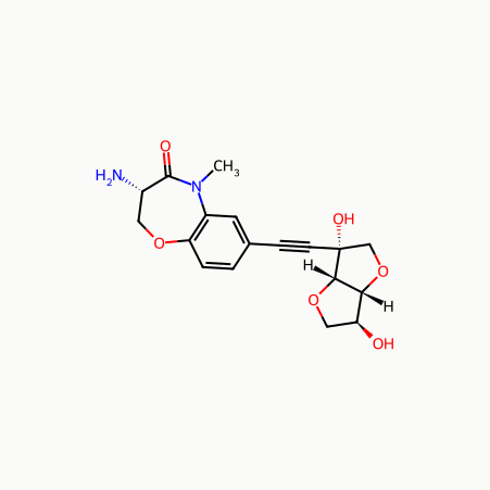 CN1C(=O)[C@@H](N)COc2ccc(C#C[C@@]3(O)CO[C@@H]4[C@@H](O)CO[C@@H]43)cc21